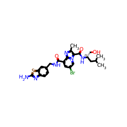 Cc1nc2c(C(=O)NCc3ccc4nc(N)sc4c3)cc(Br)cn2c1C(=O)N[C@H](CO)CC(C)C